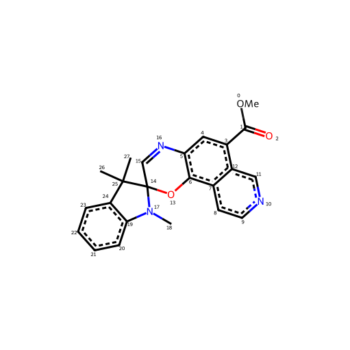 COC(=O)c1cc2c(c3ccncc13)OC1(C=N2)N(C)c2ccccc2C1(C)C